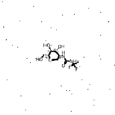 O=C(N[C@H]1[CH]O[C@H](CO)[C@@H](O)[C@@H]1O)NC(F)(F)F